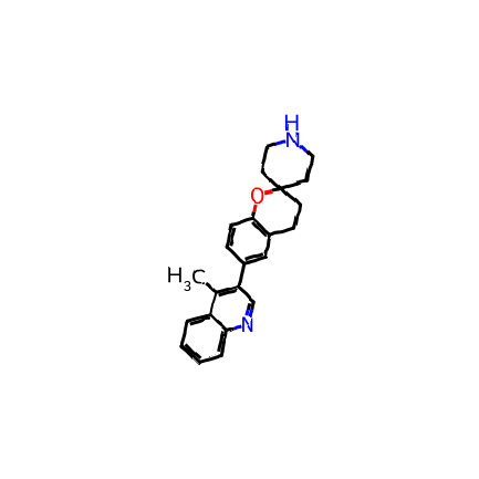 Cc1c(-c2ccc3c(c2)CCC2(CCNCC2)O3)cnc2ccccc12